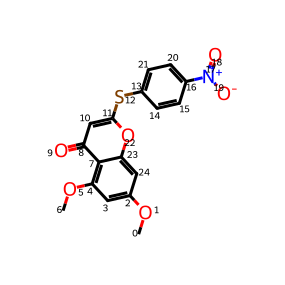 COc1cc(OC)c2c(=O)cc(Sc3ccc([N+](=O)[O-])cc3)oc2c1